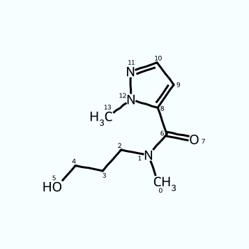 CN(CCCO)C(=O)c1ccnn1C